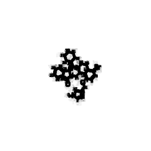 Cn1cnc(COc2ccc(Br)c3c2[C@@H](CN2Cc4ccccc4C2=O)N(C(=O)C2CCCCC2)CC3)c1